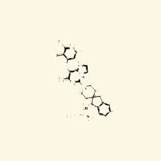 CC(C)(C)[S+]([O-])N[C@@H]1c2ccccc2CC12CCN(c1nc(N)c(Sc3ccnc(N)c3Cl)c3nccn13)CC2